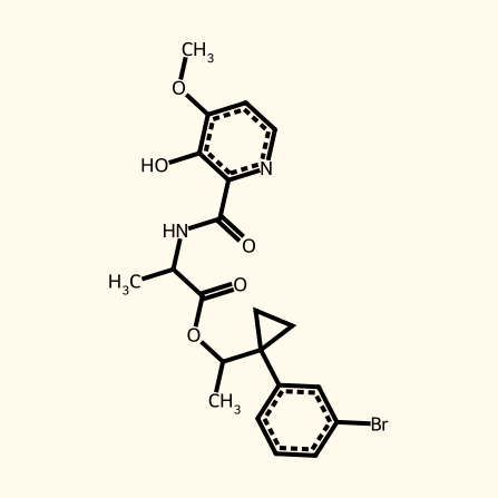 COc1ccnc(C(=O)NC(C)C(=O)OC(C)C2(c3cccc(Br)c3)CC2)c1O